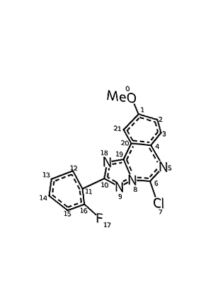 COc1ccc2nc(Cl)n3nc(-c4ccccc4F)nc3c2c1